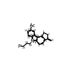 C=C1CCc2c1ccc1c2c2cc(C(C)=O)ccc2n1CCCF